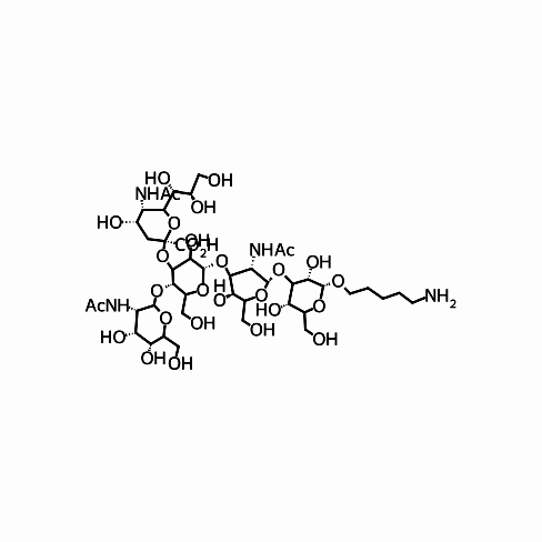 CC(=O)N[C@@H]1C(O[C@H]2C(CO)O[C@@H](OC3[C@H](O)C(CO)O[C@@H](OC4[C@@H](O)C(CO)O[C@@H](OCCCCCN)[C@H]4O)[C@H]3NC(C)=O)C(O)C2O[C@@]2(C(=O)O)C[C@H](O)[C@H](NC(C)=O)C([C@H](O)[C@H](O)CO)O2)OC(CO)[C@H](O)[C@@H]1O